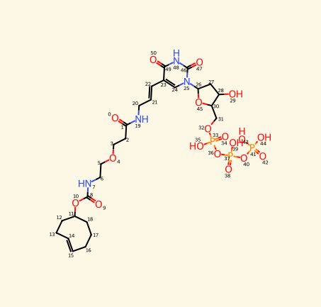 O=C(CCOCCNC(=O)OC1CC/C=C/CCC1)NC/C=C/c1cn(C2CC(O)C(COP(=O)(O)OP(=O)(O)OP(=O)(O)O)O2)c(=O)[nH]c1=O